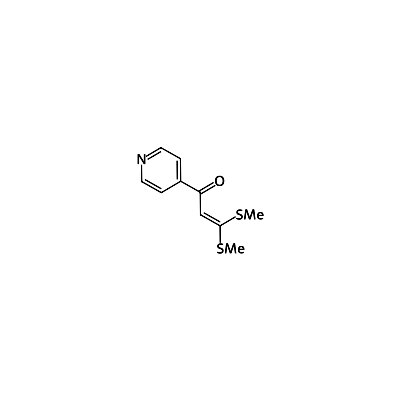 CSC(=CC(=O)c1ccncc1)SC